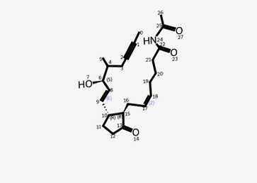 CC#CCC(C)[C@H](O)/C=C/[C@H]1CCC(=O)[C@@H]1C/C=C\CCCC(=O)NC(C)=O